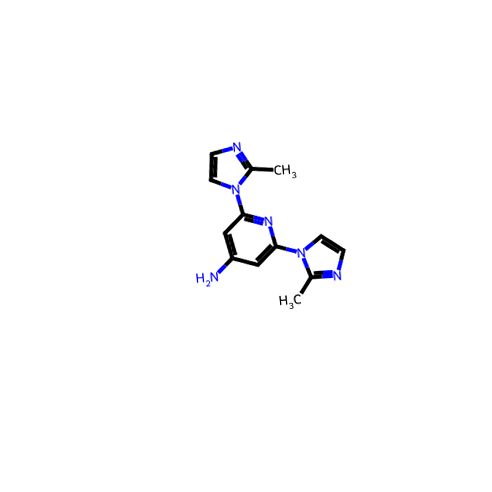 Cc1nccn1-c1cc(N)cc(-n2ccnc2C)n1